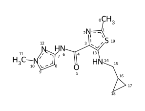 Cc1nc(C(=O)Nc2ccn(C)n2)c(NCC2CC2)s1